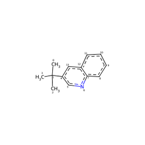 CC(C)(C)c1cnc2ccccc2c1